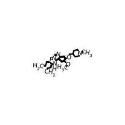 C=C/C=C(F)\C(=C/C=C)Nc1ncnc2cc(OCC3CCN(C)CC3)c(OC)cc12